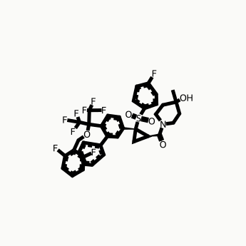 CC1(O)CCN(C(=O)[C@H]2C[C@]2(c2ccc(C(OCc3c(F)cccc3F)(C(F)(F)F)C(F)(F)F)c(-c3ccccc3)c2)S(=O)(=O)c2ccc(F)cc2)CC1